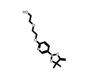 C=C1OB(c2ccc(OCCOCCO)nc2)OC1(C)C